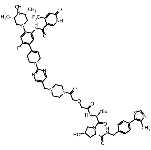 Cc1ncsc1-c1ccc(CNC(=O)[C@@H]2C[C@@H](O)CN2C(=O)[C@@H](NC(=O)COCC(=O)N2CCN(Cc3cnc(N4CC=C(c5cc(NC(=O)c6c[nH]c(=O)cc6C(F)(F)F)c(N6C[C@@H](C)N(C)[C@@H](C)C6)cc5F)CC4)nc3)CC2)C(C)(C)C)cc1